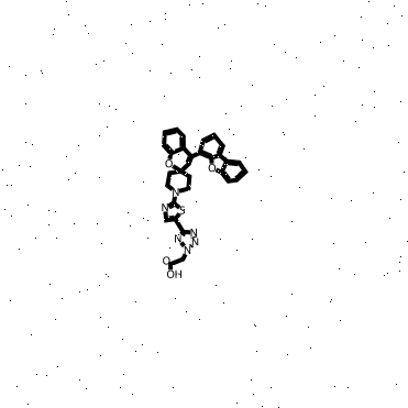 O=C(O)Cn1nnc(-c2cnc(N3CCC4(C=C(c5cccc6c5oc5ccccc56)c5ccccc5O4)CC3)s2)n1